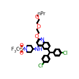 CCCOCCOCCOc1cc(NC2CCN(S(=O)(=O)C(F)(F)F)CC2)c2cc(C(c3ccc(Cl)cc3)c3ccc(Cl)cc3)ccc2n1